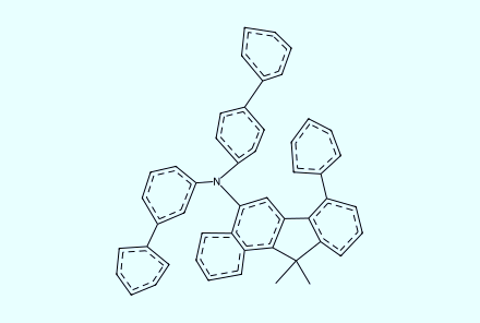 CC1(C)c2cccc(-c3ccccc3)c2-c2cc(N(c3ccc(-c4ccccc4)cc3)c3cccc(-c4ccccc4)c3)c3ccccc3c21